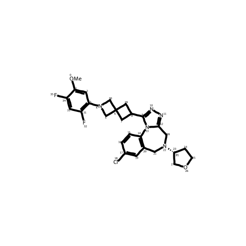 COc1cc(N2CC3(CC(c4nnc5n4-c4ccc(Cl)cc4CN([C@@H]4CCOC4)C5)C3)C2)c(F)cc1F